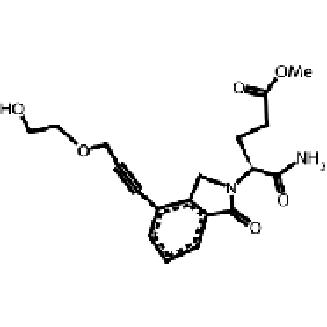 COC(=O)CC[C@@H](C(N)=O)N1Cc2c(C#CCOCCO)cccc2C1=O